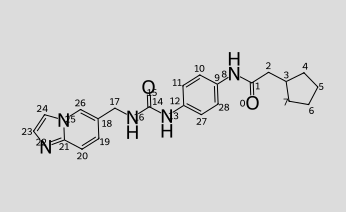 O=C(CC1CCCC1)Nc1ccc(NC(=O)NCc2ccc3nccn3c2)cc1